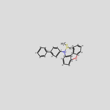 C[SH](C)N(c1ccc(-c2ccccc2)cc1)c1cccc2oc3ccccc3c12